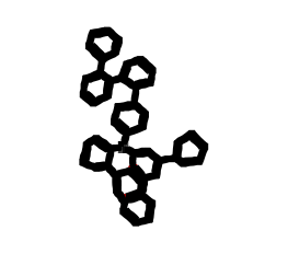 c1ccc(-c2cc(-c3ccccc3)cc(N(c3ccc(-c4ccccc4-c4ccccc4-c4ccccc4)cc3)c3ccccc3-c3ccccc3)c2)cc1